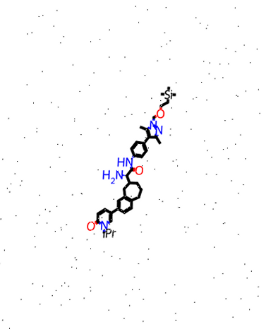 Cc1nn(COCC[Si](C)(C)C)c(C)c1-c1ccc(NC(=O)[C@@H](N)C2CCCc3ccc(-c4ccc(=O)n(C(C)C)c4)cc3C2)cc1